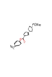 COC[C@H]1CC[C@H](c2ccc(C(=O)Oc3ccc(C#N)cc3)cc2)CC1